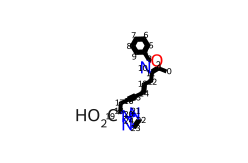 Cc1oc(-c2ccccc2)nc1CC=CC#CCC(C(=O)O)n1nccn1